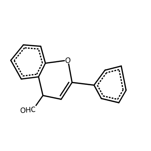 O=CC1C=C(c2ccccc2)Oc2ccccc21